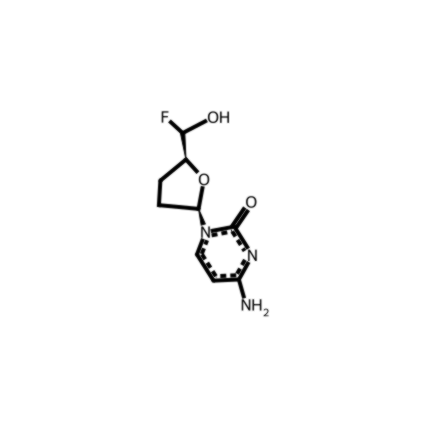 Nc1ccn([C@H]2CC[C@@H](C(O)F)O2)c(=O)n1